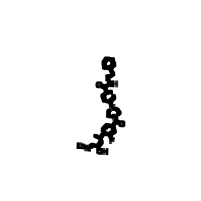 C=C(/C=C\C(=C/C)N1CCN(C(=O)c2ccc(C(C)/C=C(O)\C=N\CC)c(F)c2)CC1)C(=O)NSCc1ccccc1